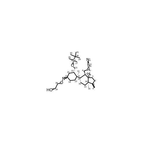 C=C1CC[C@H]2[C@H](CN=[N+]=[N-])[C@@H]([C@@]3(C)CC/C(=N\OCCO)C[C@@H]3CO[Si](C)(C)C(C)(C)C)CC[C@]12C